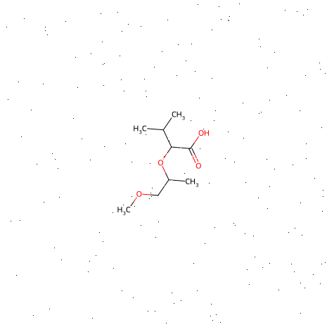 COCC(C)OC(C(=O)O)C(C)C